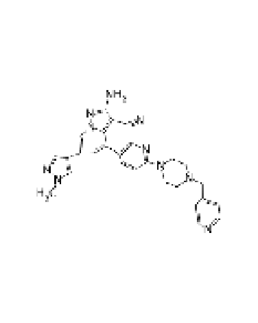 Cn1cc(-c2cc(-c3ccc(N4CCN(Cc5ccncc5)CC4)nc3)c3c(C#N)c(N)nn3c2)cn1